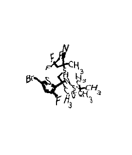 CC(C#N)(CC(F)(F)F)SC[C@](C)(N[S@+]([O-])C(C)(C)C)c1sc(Br)cc1F